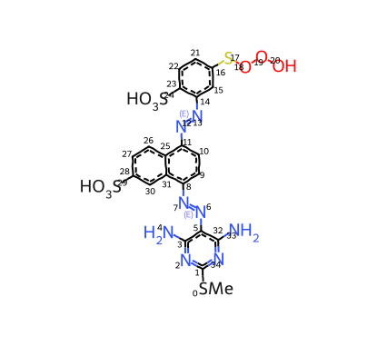 CSc1nc(N)c(/N=N/c2ccc(/N=N/c3cc(SOOO)ccc3S(=O)(=O)O)c3ccc(S(=O)(=O)O)cc23)c(N)n1